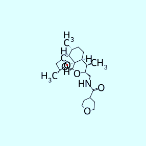 C[C@H]1[C@@H](CNC(=O)C2CCOCC2)O[C@@H]2O[C@@]3(C)CC[C@H]4[C@H](C)CC[C@@H]1[C@@]24OO3